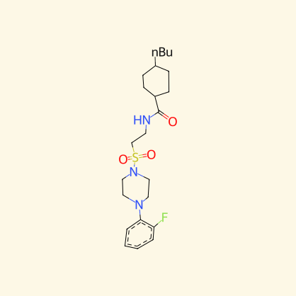 CCCCC1CCC(C(=O)NCCS(=O)(=O)N2CCN(c3ccccc3F)CC2)CC1